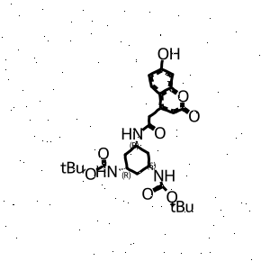 CC(C)(C)OC(=O)N[C@@H]1C[C@H](NC(=O)Cc2cc(=O)oc3cc(O)ccc23)C[C@H](NC(=O)OC(C)(C)C)C1